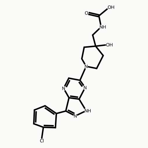 O=C(O)NCC1(O)CCN(c2cnc3c(-c4cccc(Cl)c4)n[nH]c3n2)CC1